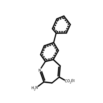 CCOC(=O)C1=Cc2cc(-c3ccccc3)ccc2N=C(N)C1